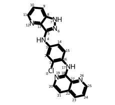 Clc1cc(Nc2n[nH]c3cccnc23)ccc1Nc1nccc2cccnc12